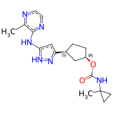 Cc1nccnc1Nc1cc([C@H]2CC[C@@H](OC(=O)NC3(C)CC3)C2)n[nH]1